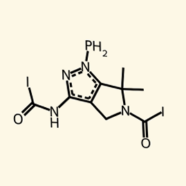 CC1(C)c2c(c(NC(=O)I)nn2P)CN1C(=O)I